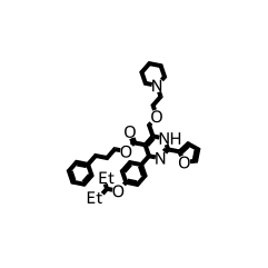 CCC(CC)Oc1ccc(C2N=C(c3ccco3)NC(COCCN3CCCCC3)=C2C(=O)OCCCc2ccccc2)cc1